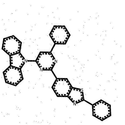 c1ccc(-c2cc(-n3c4ccccc4c4ccccc43)nc(-c3ccc4nc(-c5ccccc5)sc4c3)n2)cc1